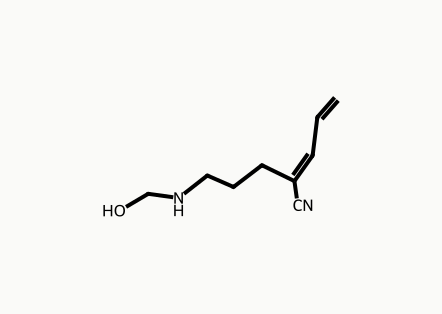 C=C/C=C(/C#N)CCCNCO